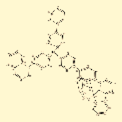 c1ccc(-c2ccc(N(c3ccc(-c4ccc(-c5cccc6c5C5(c7ccccc7-6)C6CC7CC(C6)CC5C7)cc4)cc3)c3ccc(-c4cccc5ccccc45)cc3)cc2)cc1